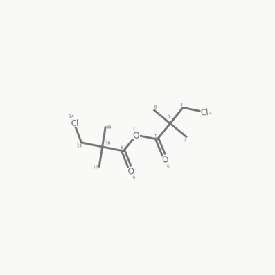 CC(C)(CCl)C(=O)OC(=O)C(C)(C)CCl